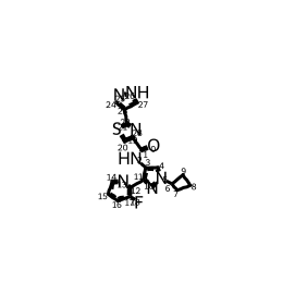 O=C(Nc1cn(C2CCC2)nc1-c1ncccc1F)c1csc(-c2cn[nH]c2)n1